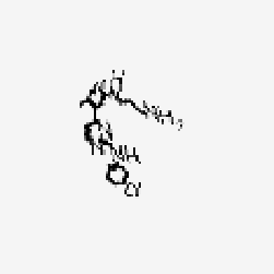 Cc1cnc(NCCCN)cc1-c1ccnc(Nc2cccc(Cl)c2)n1